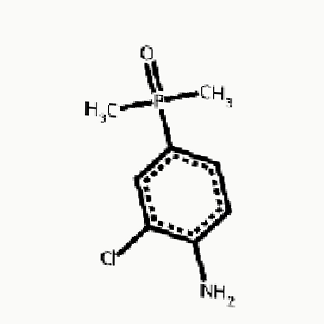 CP(C)(=O)c1ccc(N)c(Cl)c1